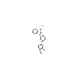 c1ccc(C2(c3cc4cc(-c5ccc6ccccc6c5)ccc4o3)NCCN2)cc1